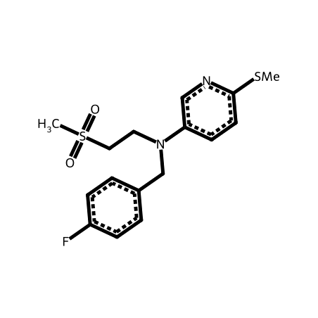 CSc1ccc(N(CCS(C)(=O)=O)Cc2ccc(F)cc2)cn1